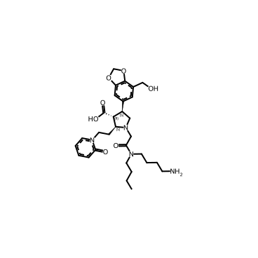 CCCCN(CCCCN)C(=O)CN1C[C@H](c2cc(CO)c3c(c2)OCO3)[C@@H](C(=O)O)[C@@H]1CCn1ccccc1=O